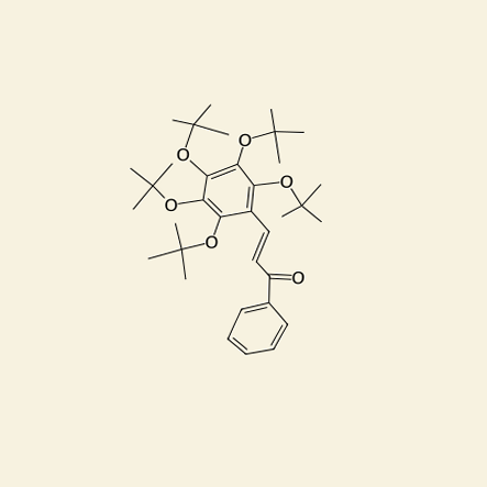 CC(C)(C)Oc1c(C=CC(=O)c2ccccc2)c(OC(C)(C)C)c(OC(C)(C)C)c(OC(C)(C)C)c1OC(C)(C)C